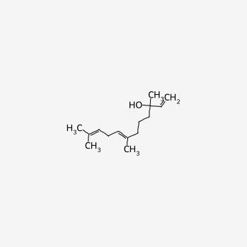 C=CC(C)(O)CCCC(C)=CCC=C(C)C